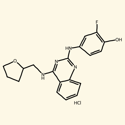 Cl.Oc1ccc(Nc2nc(NCC3CCCO3)c3ccccc3n2)cc1F